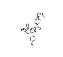 CN1CCN(C(=S)N/N=C(\C2=CNNC=C2)c2ccc(F)cc2)CC1